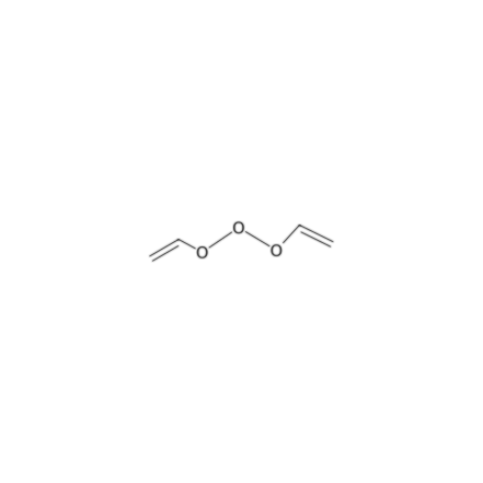 C=COOOC=C